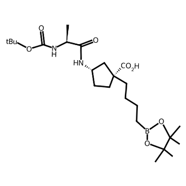 C[C@H](NC(=O)OC(C)(C)C)C(=O)N[C@H]1CC[C@@](CCCCB2OC(C)(C)C(C)(C)O2)(C(=O)O)C1